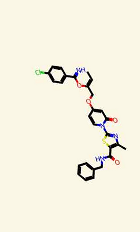 C/C=C(/COc1ccn(-c2nc(C)c(C(=O)NCc3ccccc3)s2)c(=O)c1)OC(=N)c1ccc(Cl)cc1